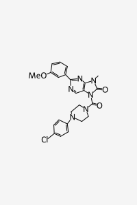 COc1cccc(-c2ncc3c(n2)n(C)c(=O)n3C(=O)N2CCN(c3ccc(Cl)cc3)CC2)c1